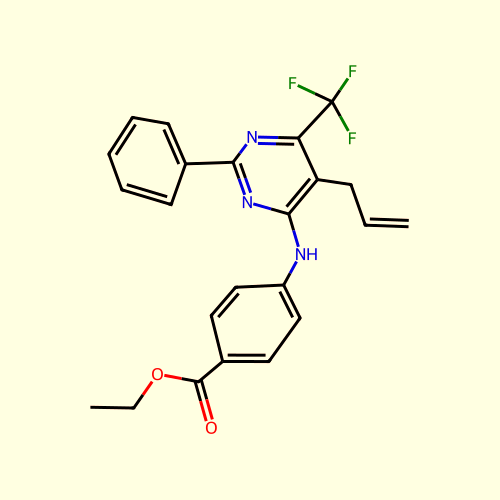 C=CCc1c(Nc2ccc(C(=O)OCC)cc2)nc(-c2ccccc2)nc1C(F)(F)F